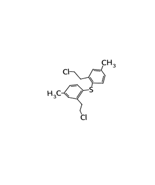 Cc1ccc(Sc2ccc(C)cc2CCCl)c(CCCl)c1